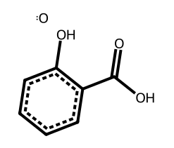 O=C(O)c1ccccc1O.[O]